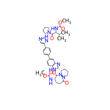 COC(=O)N[C@H]1CCC(=O)N2CCC[C@@H](c3nc4cc(-c5ccc(-c6cnc([C@@H]7CCCN7C(=O)[C@@H](NC(=O)OC)C(C)C)[nH]6)cc5)ccc4[nH]3)N2C1=O